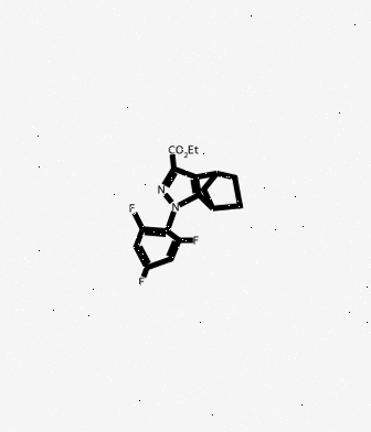 CCOC(=O)c1nn(-c2c(F)cc(F)cc2F)c2c1C1CCC2C1